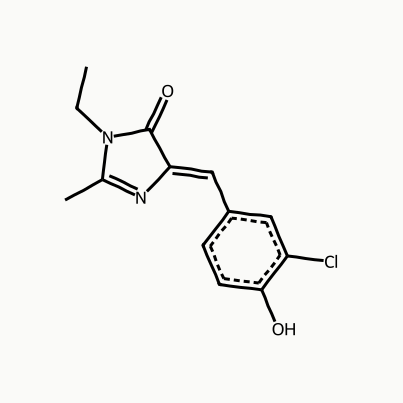 CCN1C(=O)/C(=C/c2ccc(O)c(Cl)c2)N=C1C